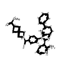 COC(=O)C1CC2(C1)CN(C(=O)c1ccc(-n3c(-c4cccnc4N)nc4ccc(-c5ccccc5)nc43)cc1)C2